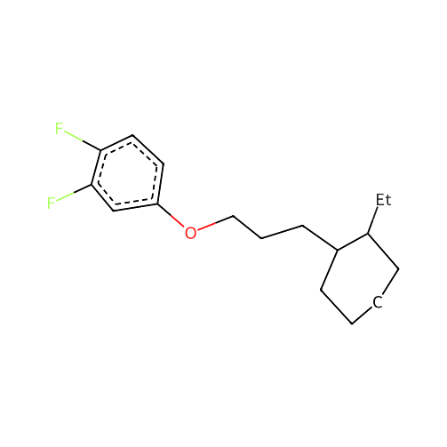 CCC1CCCCC1CCCOc1ccc(F)c(F)c1